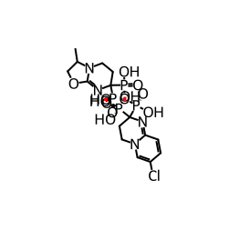 CC1COC2=NC(P(=O)(O)O)(P(=O)(O)OP(=O)(O)C3(P(=O)(O)O)CCN4C=C(Cl)C=CC4=N3)CCN21